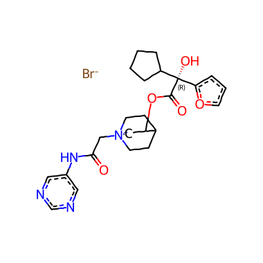 O=C(C[N+]12CCC(CC1)C(OC(=O)[C@](O)(c1ccco1)C1CCCC1)C2)Nc1cncnc1.[Br-]